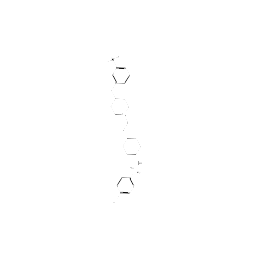 O=S(=O)(N[C@H]1CC[C@H](CCN2CCC(Cc3cccc(C(F)(F)F)c3)CC2)CC1)c1ccc(Br)cc1